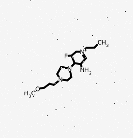 CCC[N+]1=CC(N)C(N2CCN(CCCOC)CC2)C(F)C1